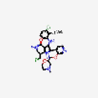 COc1c(Cl)cccc1Nc1c(-c2ccncc2OCC2CN(C)CCO2)[nH]c2c1C(=O)NCC2CF